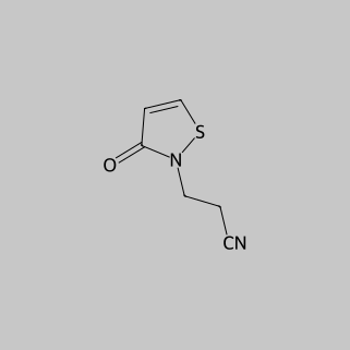 N#CCCn1sccc1=O